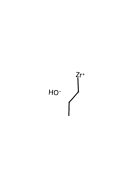 CC[CH2][Zr+].[OH-]